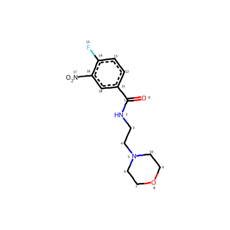 O=C(NCCN1CCOCC1)c1ccc(F)c([N+](=O)[O-])c1